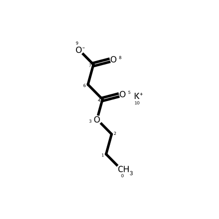 CCCOC(=O)CC(=O)[O-].[K+]